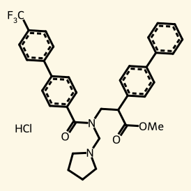 COC(=O)C(CN(CN1CCCC1)C(=O)c1ccc(-c2ccc(C(F)(F)F)cc2)cc1)c1ccc(-c2ccccc2)cc1.Cl